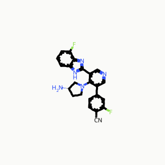 N#Cc1ccc(-c2cncc(-c3nc4c(F)cccc4[nH]3)c2N2CC[C@H](N)C2)cc1F